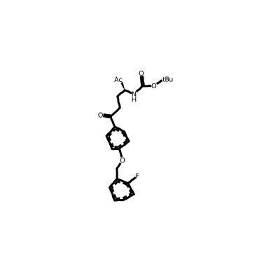 CC(=O)[C@H](CCC(=O)c1ccc(OCc2ccccc2F)cc1)NC(=O)OC(C)(C)C